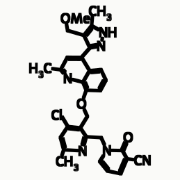 COCc1c(-c2cc(C)nc3c(OCc4c(Cl)cc(C)nc4Cn4cccc(C#N)c4=O)cccc23)n[nH]c1C